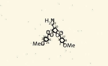 COc1ccc(C(=O)Oc2ccc(CCN)cc2OC(=O)c2ccc(OC)cc2)cc1